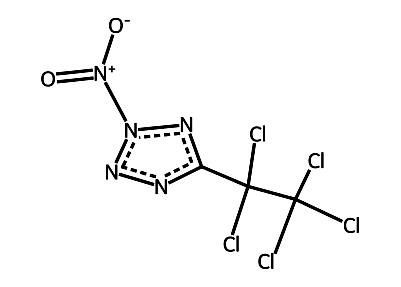 O=[N+]([O-])n1nnc(C(Cl)(Cl)C(Cl)(Cl)Cl)n1